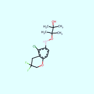 CC(C)(O)C(C)(C)OBc1ccc2c(c1Cl)CC(F)(F)CO2